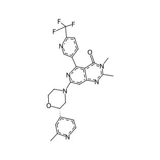 Cc1cc([C@H]2CN(c3cc4nc(C)n(C)c(=O)c4c(-c4ccc(C(F)(F)F)nc4)n3)CCO2)ccn1